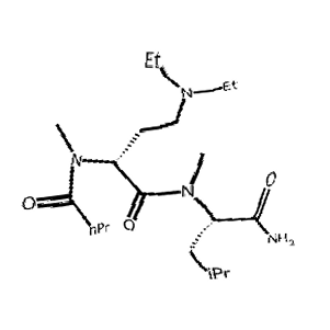 CCCC(=O)N(C)[C@H](CCN(CC)CC)C(=O)N(C)[C@@H](CC(C)C)C(N)=O